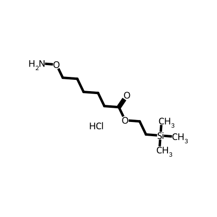 C[Si](C)(C)CCOC(=O)CCCCCON.Cl